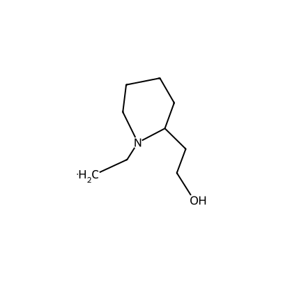 [CH2]CN1CCCCC1CCO